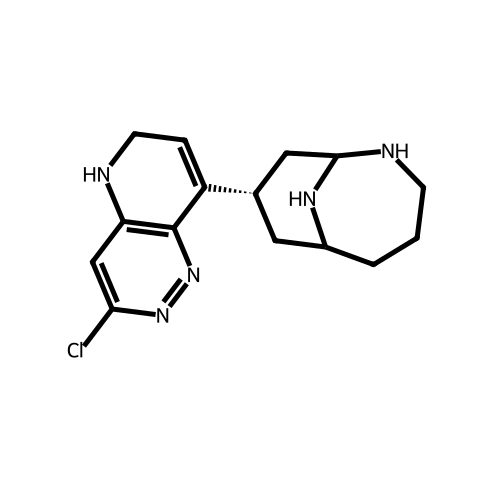 Clc1cc2c(nn1)C([C@H]1CC3CCCNC(C1)N3)=CCN2